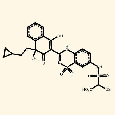 CC1(CCC2CC2)C(=O)C(C2=NS(=O)(=O)c3cc(NS(=O)(=O)C(C(=O)O)C(C)(C)C)ccc3N2)=C(O)c2ccccc21